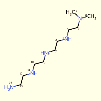 CN(C)CCNCCNCCNCCN